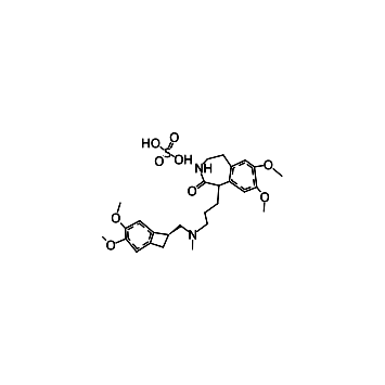 COc1cc2c(cc1OC)C(CCCN(C)C[C@H]1Cc3cc(OC)c(OC)cc31)C(=O)NCC2.O=S(=O)(O)O